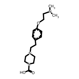 CN(C)CCOc1ccc(CCN2CCN(C(=O)O)CC2)cc1